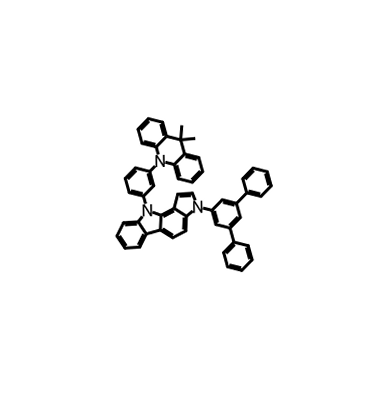 CC1(C)c2ccccc2N(c2cccc(-n3c4ccccc4c4ccc5c(ccn5-c5cc(-c6ccccc6)cc(-c6ccccc6)c5)c43)c2)c2ccccc21